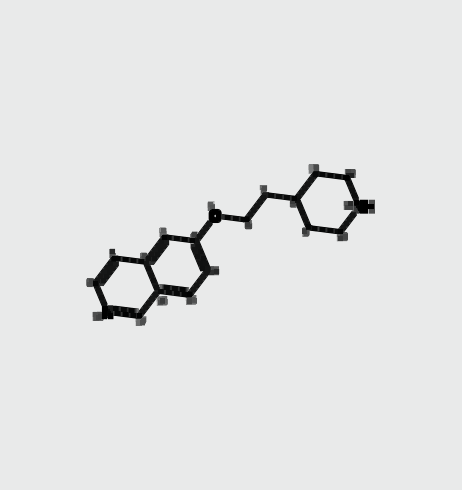 c1cc2cc(OCCC3CCNCC3)ccc2cn1